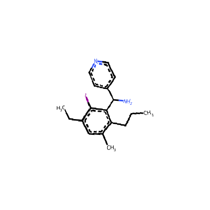 CCCc1c(C)cc(CC)c(I)c1C(N)c1ccncc1